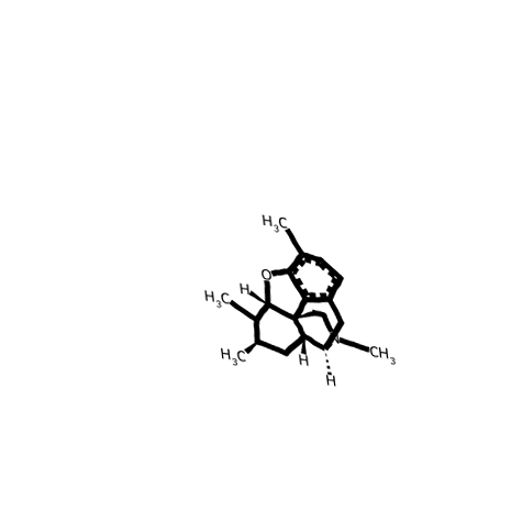 Cc1ccc2c3c1O[C@H]1C(C)[C@H](C)C[C@H]4[C@H](C2)N(C)CC[C@]314